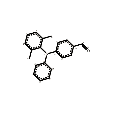 Cc1cccc(C)c1N(c1ccccc1)c1ccc(C=O)cc1